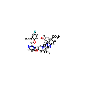 CNc1cc(F)ccc1OCc1nccc(OC2CC[N+](C)(Cc3nc4ccc(C(=O)O)cc4n3C[C@H]3CCO3)[C@@H](C)C2)n1